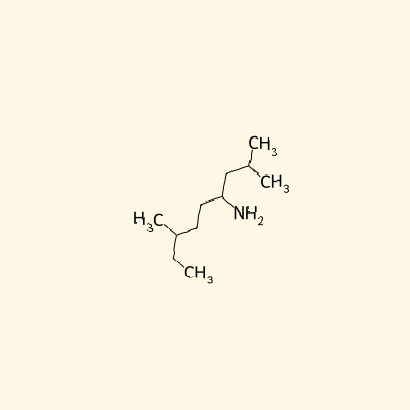 CCC(C)CCC(N)CC(C)C